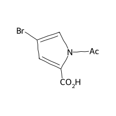 CC(=O)n1cc(Br)cc1C(=O)O